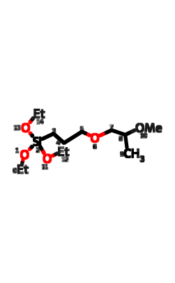 CCO[Si](CCCOCC(C)OC)(OCC)OCC